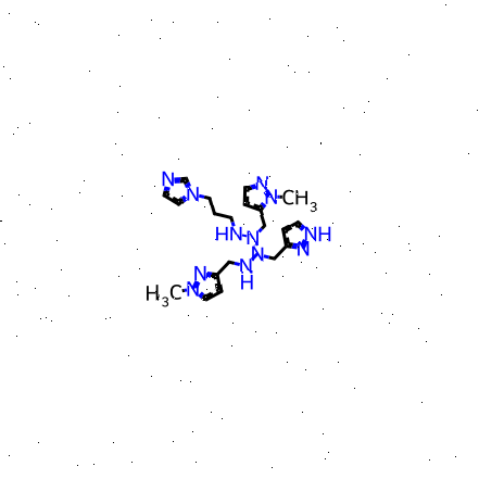 Cn1ccc(CNN(Cc2cc[nH]n2)N(Cc2ccnn2C)NCCCn2ccnc2)n1